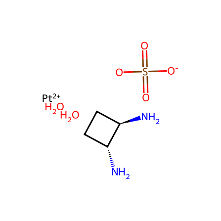 N[C@@H]1CC[C@H]1N.O.O.O=S(=O)([O-])[O-].[Pt+2]